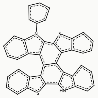 c1ccc(-n2c3ccccc3c3c4c5c6ccccc6sc5c5[nH]c6ccccc6c5c4c4c5ccccc5sc4c32)cc1